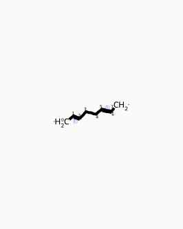 [CH2]/C=C/CC/C=C/[CH2]